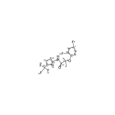 CC(C)(Oc1ccc(F)cc1F)C(=O)Nc1nc(C(F)(F)F)cs1